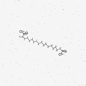 CC(CCCCCCCCCCCCCCCCC(=O)Cl)C(=O)Cl